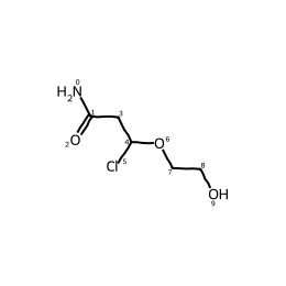 NC(=O)CC(Cl)OCCO